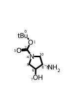 CC(C)(C)OC(=O)N1CC(O)[C@@H](N)C1